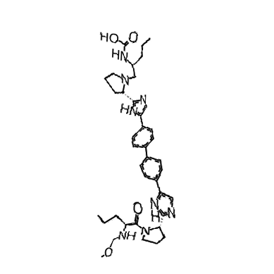 CCC[C@@H](CN1CCC[C@H]1c1ncc(-c2ccc(-c3ccc(-c4cnc([C@@H]5CCCN5C(=O)[C@H](CCC)NCOC)[nH]4)cc3)cc2)[nH]1)NC(=O)O